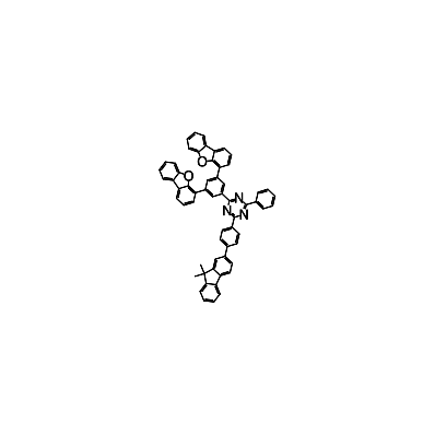 CC1(C)c2ccccc2-c2ccc(-c3ccc(-c4nc(-c5ccccc5)nc(-c5cc(-c6cccc7c6oc6ccccc67)cc(-c6cccc7c6oc6ccccc67)c5)n4)cc3)cc21